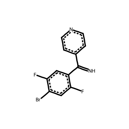 N=C(c1ccncc1)c1cc(F)c(Br)cc1F